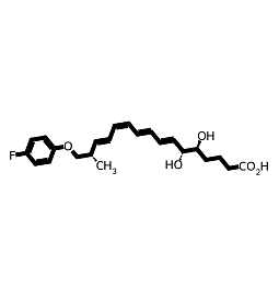 C[C@@H](/C=C/C=C\C=C\C=C\[C@@H](O)[C@@H](O)CCCC(=O)O)COc1ccc(F)cc1